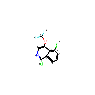 FC(F)Oc1cnc(Cl)c2cccc(Cl)c12